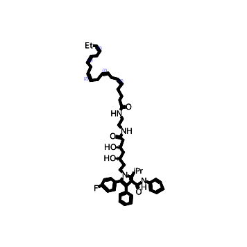 CC/C=C\C/C=C\C/C=C\C/C=C\C/C=C\CCCC(=O)NCCNC(=O)C[C@H](O)C[C@H](O)CCn1c(-c2ccc(F)cc2)c(-c2ccccc2)c(C(=O)Nc2ccccc2)c1C(C)C